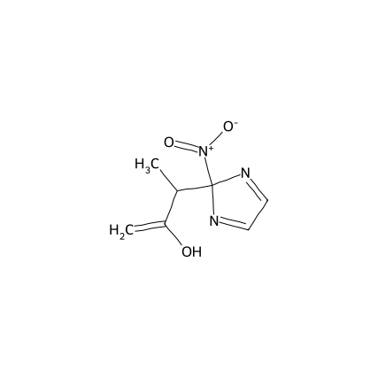 C=C(O)C(C)C1([N+](=O)[O-])N=CC=N1